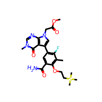 COC(=O)Cn1cc(-c2cc(C(N)=O)c(OCCS(C)(C)C)c(C)c2F)c2c(=O)n(C)cnc21